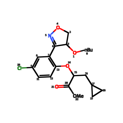 CCCCOC1CON=C1c1cc(Cl)ccc1OC(CC1CC1)C(=O)OC